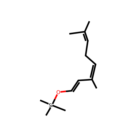 CC(C)=CCC=C(C)C=CO[Si](C)(C)C